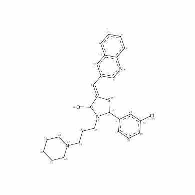 O=C1/C(=C/c2cnc3ccccc3c2)SC(c2cccc(Cl)c2)N1CCCN1CCCCC1